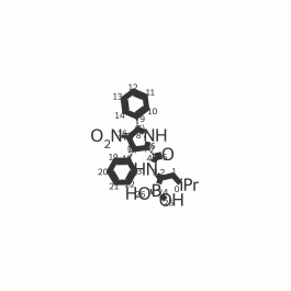 CC(C)CC(NC(=O)[C@H]1N[C@@H](c2ccccc2)[C@H]([N+](=O)[O-])[C@H]1c1ccccc1)B(O)O